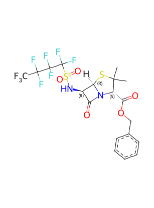 CC1(C)S[C@@H]2[C@H](NS(=O)(=O)C(F)(F)C(F)(F)C(F)(F)C(F)(F)F)C(=O)N2[C@H]1C(=O)OCc1ccccc1